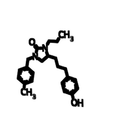 CCCN1C(=O)N(Cc2ccc(C)cc2)CC1CCCc1ccc(O)cc1